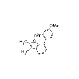 CCCn1c(C)c(C)c2ccnc(-c3ccc(OC)cc3)c21